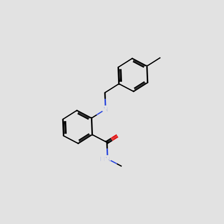 CNC(=O)c1ccccc1NCc1ccc(C)cc1